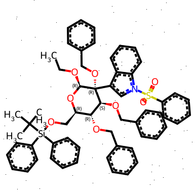 CCO[C@@H]1O[C@H](CO[Si](c2ccccc2)(c2ccccc2)C(C)(C)C)[C@@H](OCc2ccccc2)[C@H](OCc2ccccc2)[C@]1(OCc1ccccc1)c1cn(S(=O)(=O)c2ccccc2)c2ccccc12